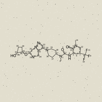 CN(C(=O)Nc1cc(C(F)(F)F)cn(C)c1=O)C1CCN(c2cnn3cc(O[C@@H]4CC[C@H]4O)ncc23)CC1